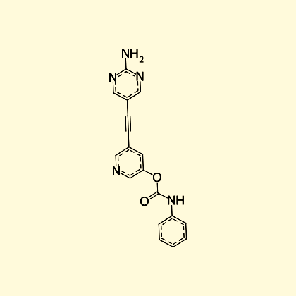 Nc1ncc(C#Cc2cncc(OC(=O)Nc3ccccc3)c2)cn1